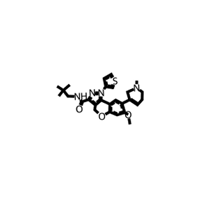 COc1cc2c(cc1C1=CCCN(C)C1)-c1c(c(C(=O)NCC(C)(C)C)nn1-c1ccsc1)CO2